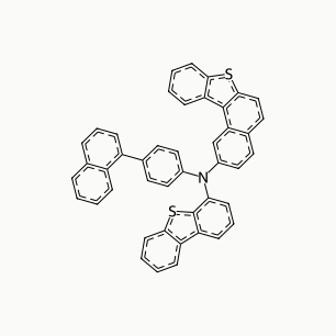 c1ccc2c(-c3ccc(N(c4ccc5ccc6sc7ccccc7c6c5c4)c4cccc5c4sc4ccccc45)cc3)cccc2c1